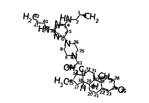 C=CCNc1cc(N2CCN(CC(=O)[C@H]3C(C)C[C@H]4[C@@H]5CCC6=CC(=O)C=C[C@]6(C)C5=CC[C@]34C)CC2)nc(NCC=C)n1